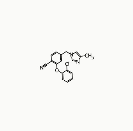 Cc1cn(Cc2ccc(C#N)c(Oc3ccccc3Cl)c2)cn1